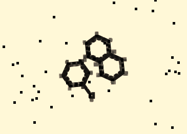 Clc1cccnc1.c1ccc2ccccc2c1